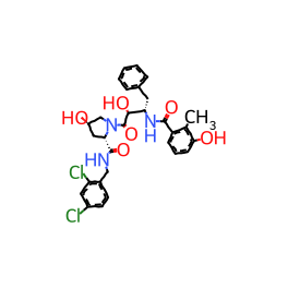 Cc1c(O)cccc1C(=O)N[C@@H](Cc1ccccc1)[C@H](O)C(=O)N1C[C@H](O)C[C@H]1C(=O)NCc1ccc(Cl)cc1Cl